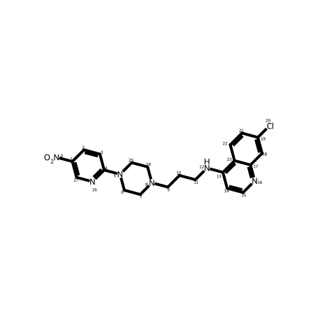 O=[N+]([O-])c1ccc(N2CCN(CCCNc3ccnc4cc(Cl)ccc34)CC2)nc1